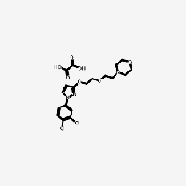 Clc1ccc(-n2ccc(OCCOCCN3CCOCC3)n2)cc1Cl.O=C(O)C(=O)O